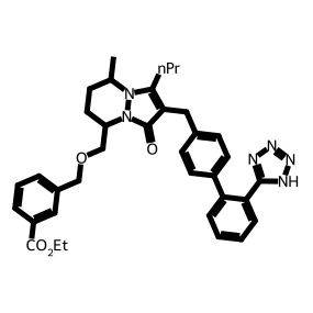 CCCc1c(Cc2ccc(-c3ccccc3-c3nnn[nH]3)cc2)c(=O)n2n1C(C)CCC2COCc1cccc(C(=O)OCC)c1